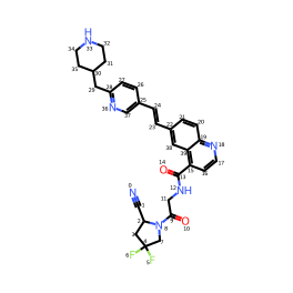 N#CC1CC(F)(F)CN1C(=O)CNC(=O)c1ccnc2ccc(C=Cc3ccc(CC4CCNCC4)nc3)cc12